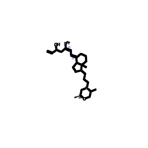 C=CC(O)C/C(=C\C=C1/CCCC2(C)C(CCCN3C[C@@H](C)OCC3C)CCC12)CCC